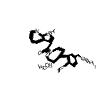 Cl.Cl.NCc1ccc(F)c(C2CCN(C(=O)c3c[nH]c4ncccc34)CC2)c1